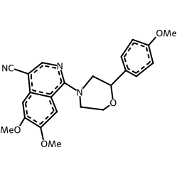 COc1ccc(C2CN(c3ncc(C#N)c4cc(OC)c(OC)cc34)CCO2)cc1